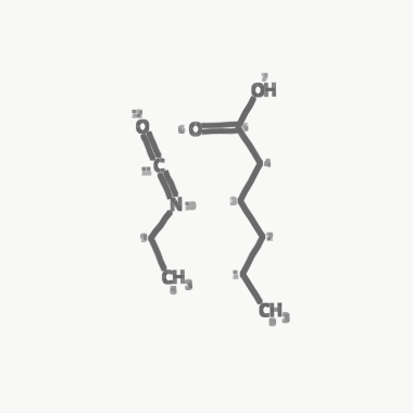 CCCCCC(=O)O.CCN=C=O